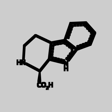 O=C(O)[C@H]1NCCc2c1[nH]c1ccccc21